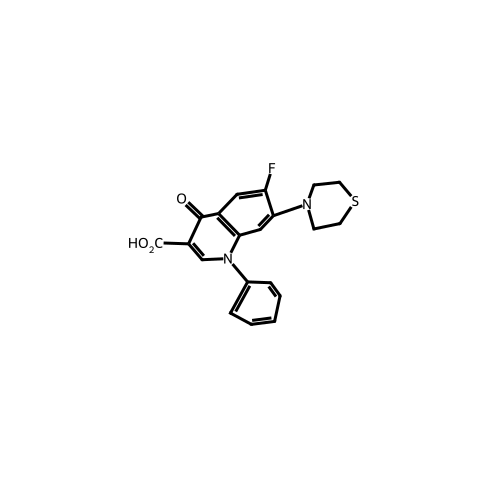 O=C(O)c1cn(-c2ccccc2)c2cc(N3CCSCC3)c(F)cc2c1=O